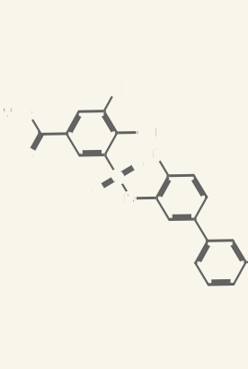 COC(=O)c1cc(Cl)c(O)c(S(=O)(=O)Nc2cc(-c3ccccc3)ccc2F)c1